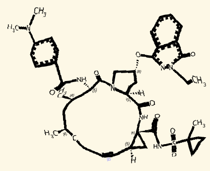 CCn1nc(O[C@@H]2C[C@H]3C(=O)N[C@]4(C(=O)NS(=O)(=O)C5(C)CC5)C[C@H]4/C=C\CC[C@@H](C)C[C@@H](C)[C@H](NC(=O)c4ccc(N(C)C)cc4)C(=O)N3C2)c2ccccc2c1=O